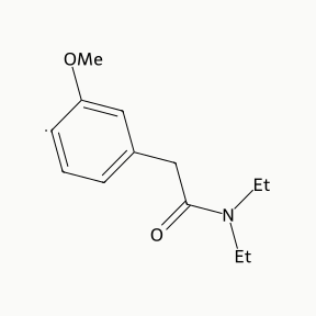 CCN(CC)C(=O)Cc1cc[c]c(OC)c1